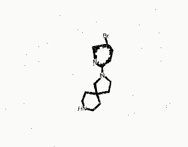 Brc1ccc(N2CCC3(CCNCC3)C2)nc1